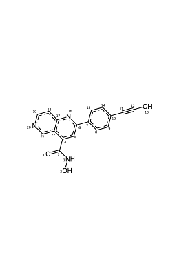 O=C(NO)c1cc(-c2ccc(C#CO)cc2)nc2ccncc12